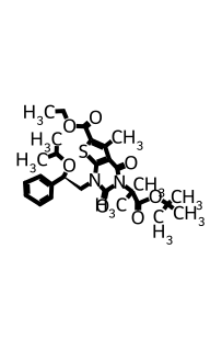 CCOC(=O)c1sc2c(c1C)c(=O)n(C(C)(C)C(=O)OC(C)(C)C)c(=O)n2C[C@H](OC(C)C)c1ccccc1